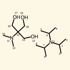 CC(C)N(C(C)C)C(C)C.CN(C)C(CO)(CO)CO